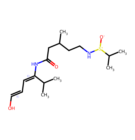 CC(CCN[S+]([O-])C(C)C)CC(=O)N/C(=C/C=C/O)C(C)C